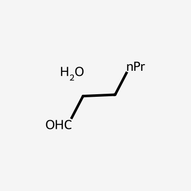 CCCCCC=O.O